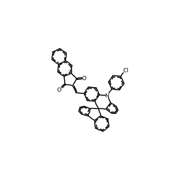 O=C1C(=Cc2ccc3c(c2)C2(c4ccccc4-c4ccccc42)c2ccccc2N3c2ccc(Cl)cc2)C(=O)c2cc3ccccc3cc21